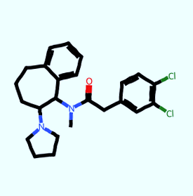 CN(C(=O)Cc1ccc(Cl)c(Cl)c1)C1c2ccccc2CCCC1N1CCCC1